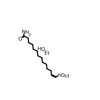 CCCCCCCC/C=C\CCCCCCCCCCCC(N)=O.CCO